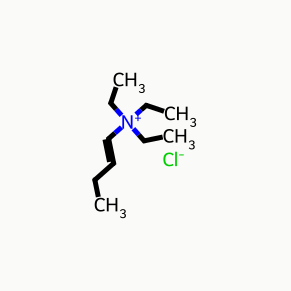 CCC=C[N+](CC)(CC)CC.[Cl-]